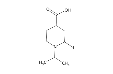 CC(C)N1CCC(C(=O)O)CC1I